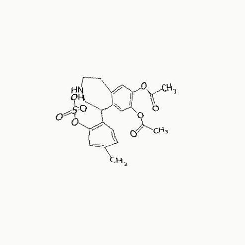 CC(=O)Oc1cc2c(cc1OC(C)=O)C(c1ccc(C)cc1OS(=O)(=O)O)CNCC2